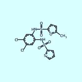 Cc1ccc(S(=O)(=O)Nc2cc(Cl)c(Cl)cc2NS(=O)(=O)c2cccs2)o1